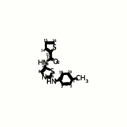 Cc1ccc(Nc2ncc(NC(=O)c3cccs3)s2)cc1